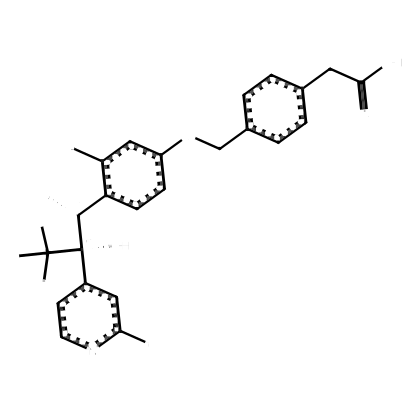 C[C@H](c1ccc(OCc2ccc(CC(=O)O)cc2)cc1Cl)[C@@](O)(c1ccnc(Cl)c1)C(F)(F)F